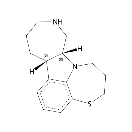 c1cc2c3c(c1)[C@@H]1CCCNC[C@@H]1N3CCCS2